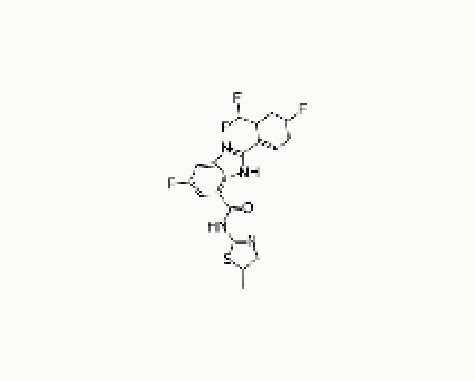 CC1CN=C(NC(=O)c2cc(F)cc3nc(C4=CC=C(F)CC4C(F)F)[nH]c23)S1